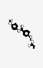 C=CC(=O)OCOc1ccc(C(=O)Oc2ccc(OCC)cc2)cc1